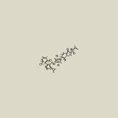 O=C(NS(=O)(=O)C1CC1)c1ccc(N2C[C@@H]3C[C@H]2C[C@H]3OCc2c(-c3c(Cl)cccc3Cl)noc2C2CC2)c(F)c1